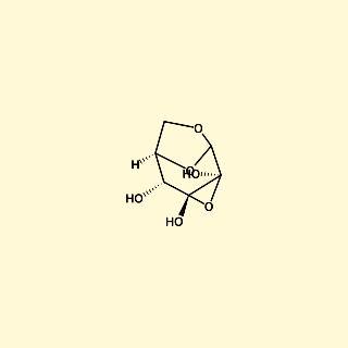 O[C@@H]1[C@H]2COC(O2)[C@@]2(O)O[C@]12O